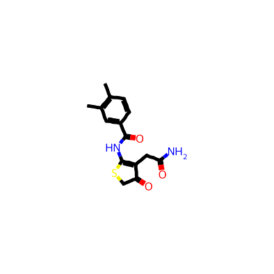 Cc1ccc(C(=O)NC2=C(CC(N)=O)C(=O)CS2)cc1C